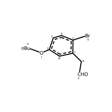 CCCCOc1ccc(Br)c(CC=O)c1